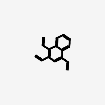 C=Cc1cc(C=C)c2ccccc2c1C=C